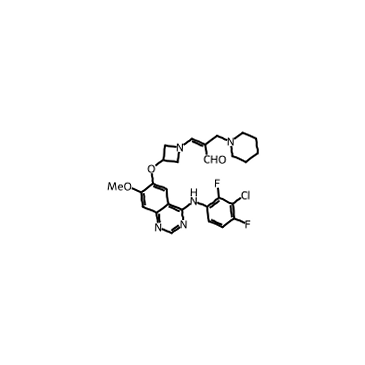 COc1cc2ncnc(Nc3ccc(F)c(Cl)c3F)c2cc1OC1CN(C=C(C=O)CN2CCCCC2)C1